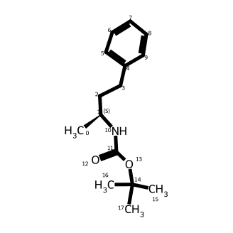 C[C@@H](CCc1ccccc1)NC(=O)OC(C)(C)C